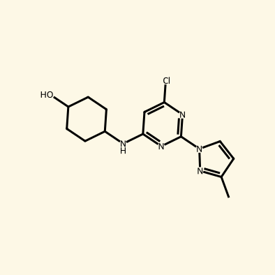 Cc1ccn(-c2nc(Cl)cc(NC3CCC(O)CC3)n2)n1